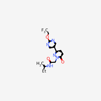 C=C(CC)NC(=O)Cn1nc(-c2cnc(OCC(F)(F)F)nc2)ccc1=O